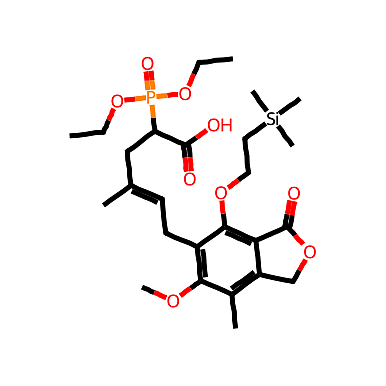 CCOP(=O)(OCC)C(C/C(C)=C/Cc1c(OC)c(C)c2c(c1OCC[Si](C)(C)C)C(=O)OC2)C(=O)O